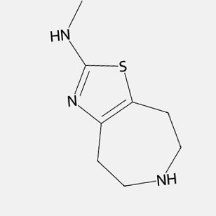 CNc1nc2c(s1)CCNCC2